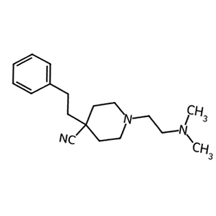 CN(C)CCN1CCC(C#N)(CCc2ccccc2)CC1